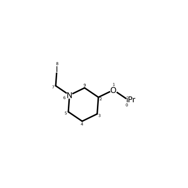 CC(C)OC1CCCN(CI)C1